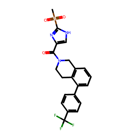 CS(=O)(=O)c1nc(C(=O)N2CCc3c(cccc3-c3ccc(C(F)(F)F)cc3)C2)c[nH]1